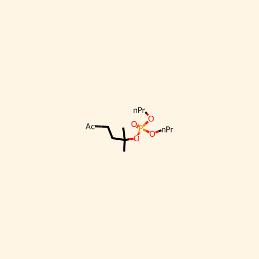 CCCOP(=O)(OCCC)OC(C)(C)CCC(C)=O